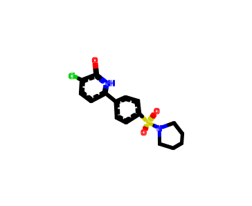 O=c1[nH]c(-c2ccc(S(=O)(=O)N3CCCCC3)cc2)ccc1Cl